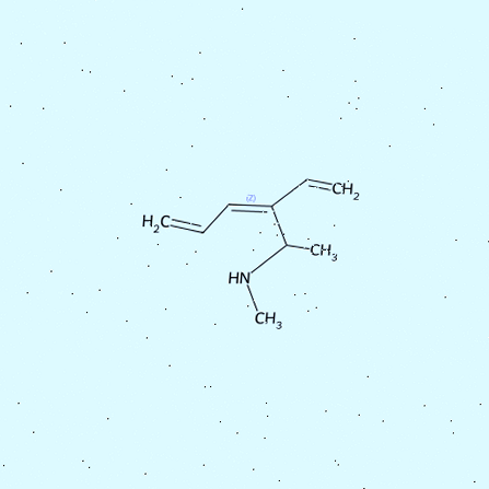 C=C/C=C(/C=C)C(C)NC